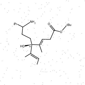 CC=C(C)[C@](O)(CCC(N)C(C)C)C(C)=CCC(=O)OC(C)(C)C